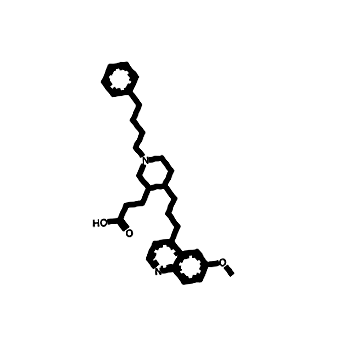 COc1ccc2nccc(CCCC3CCN(CCCCc4ccccc4)CC3CCC(=O)O)c2c1